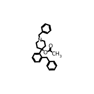 CC(=O)OC1(c2ccccc2Cc2ccccc2)CCN(Cc2ccccc2)CC1